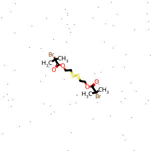 CC(C)(Br)C(=O)OCCSSCCOC(=O)C(C)(C)Br